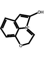 OC1=Cc2cccc3c2[N+]1=CCO3